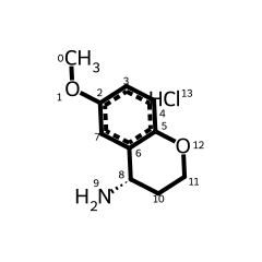 COc1ccc2c(c1)[C@@H](N)CCO2.Cl